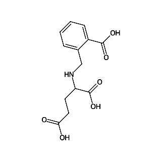 O=C(O)CCC(NCc1ccccc1C(=O)O)C(=O)O